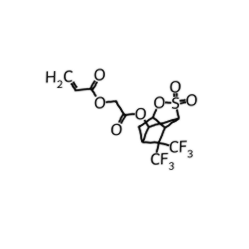 C=CC(=O)OCC(=O)OC1C2CC3OS(=O)(=O)C1C3C2(C(F)(F)F)C(F)(F)F